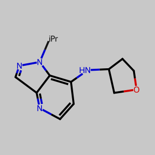 CC(C)n1ncc2nccc(NC3CCOC3)c21